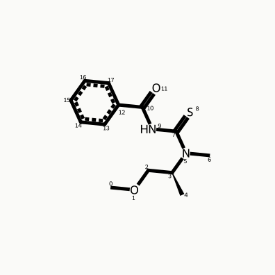 COC[C@H](C)N(C)C(=S)NC(=O)c1ccccc1